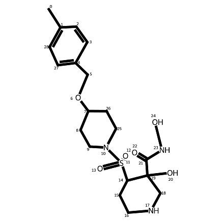 Cc1ccc(COC2CCN(S(=O)(=O)C3CCNCC3(O)C(=O)NO)CC2)cc1